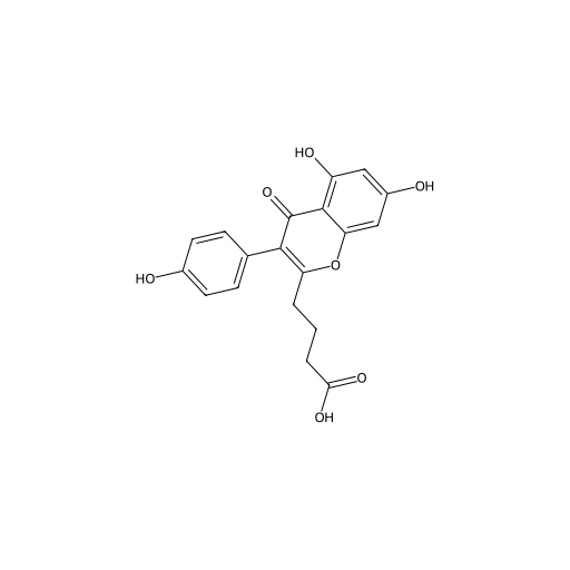 O=C(O)CCCc1oc2cc(O)cc(O)c2c(=O)c1-c1ccc(O)cc1